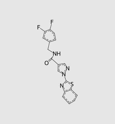 O=C(NCc1ccc(F)c(F)c1)c1cnn(-c2nc3ccccc3s2)c1